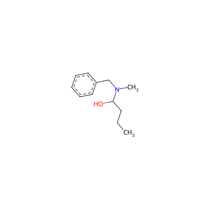 CCCC(O)N(C)Cc1ccccc1